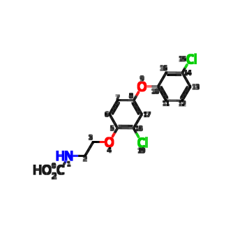 O=C(O)NCCOc1ccc(Oc2cccc(Cl)c2)cc1Cl